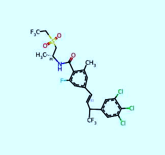 Cc1cc(/C=C/C(c2cc(Cl)c(Cl)c(Cl)c2)C(F)(F)F)cc(F)c1C(=O)N[C@H](C)CS(=O)(=O)CC(F)(F)F